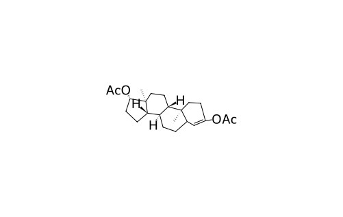 CC(=O)OC1=CC2CC[C@H]3[C@@H]4CC[C@H](OC(C)=O)[C@@]4(C)CC[C@@H]3[C@@]2(C)CC1